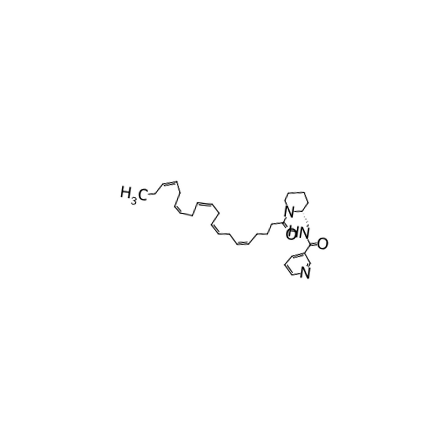 CC/C=C\C/C=C\C/C=C\C/C=C\C/C=C\CCCC(=O)N1CCCC[C@@H]1CNC(=O)c1cccnc1